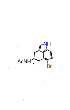 CC(=O)NC1Cc2c[nH]c3ccc(Br)c(c23)C1